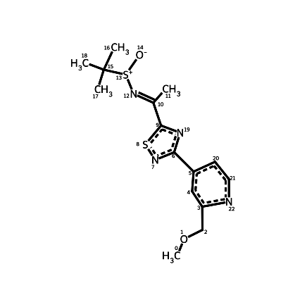 COCc1cc(-c2nsc(/C(C)=N/[S+]([O-])C(C)(C)C)n2)ccn1